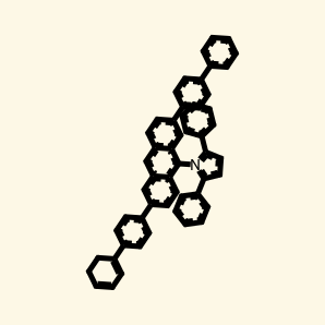 C1=CCCC(c2ccc(-c3ccc4c(-n5c(-c6ccccc6)ccc5-c5ccccc5)c5cc(-c6ccc(-c7ccccc7)cc6)ccc5cc4c3)cc2)=C1